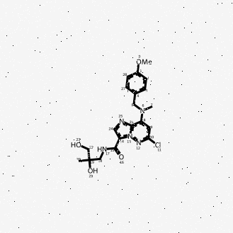 COc1ccc(CN(C)c2cc(Cl)nn3c(C(=O)NCC(C)(O)CO)cnc23)cc1